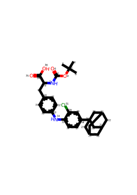 CC(C)(C)OC(=O)NC(Cc1ccc(Nc2ccc(C34CC5CC(CC(C5)C3)C4)cc2Cl)cc1)C(=O)O